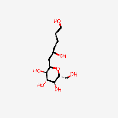 OCCCCC(O)C[C@H]1O[C@H](CO)[C@@H](O)[C@H](O)[C@H]1O